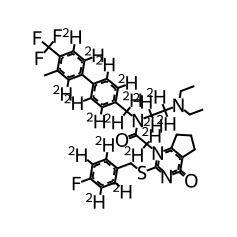 [2H]c1c([2H])c(CSc2nc(=O)c3c(n2C([2H])([2H])C(=O)N(C([2H])([2H])c2c([2H])c([2H])c(-c4c([2H])c([2H])c(C(F)(F)F)c(C)c4[2H])c([2H])c2[2H])C([2H])([2H])C([2H])([2H])N(CC)CC)CCC3)c([2H])c([2H])c1F